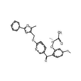 COc1ccc(C(=O)c2ccc(OCc3nc(-c4ccccc4)oc3C)nc2)c(O[C@H](C)C(=O)O)c1